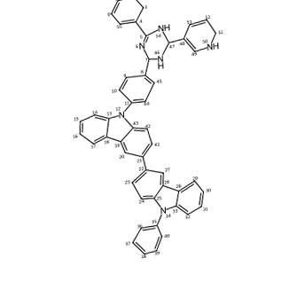 C1=CNCC(C2=NC(c3ccc(-n4c5ccccc5c5cc(-c6ccc7c(c6)c6ccccc6n7-c6ccccc6)ccc54)cc3)NC(C3=CNCC=C3)N2)=C1